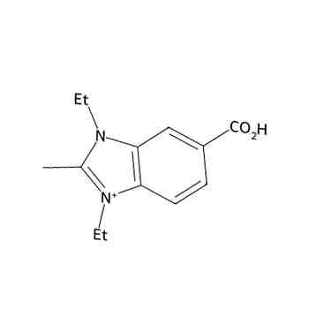 CCn1c(C)[n+](CC)c2ccc(C(=O)O)cc21